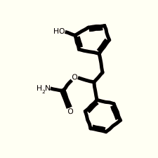 NC(=O)OC(Cc1cccc(O)c1)c1ccccc1